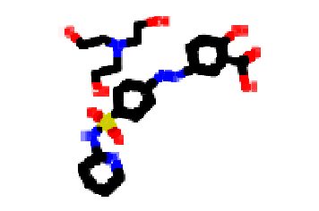 O=C(O)c1cc(N=Nc2ccc(S(=O)(=O)Nc3ccccn3)cc2)ccc1O.OCCN(CCO)CCO